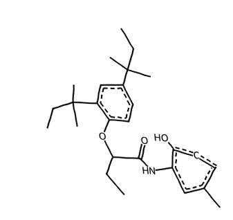 CCC(Oc1ccc(C(C)(C)CC)cc1C(C)(C)CC)C(=O)Nc1cc(C)ccc1O